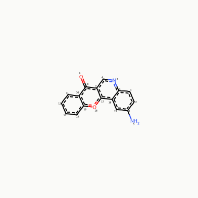 Nc1ccc2ncc3c(=O)c4ccccc4oc3c2c1